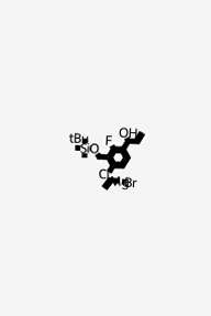 C=CC(O)c1ccc(Cl)c(CO[Si](C)(C)C(C)(C)C)c1F.C=[CH][Mg][Br]